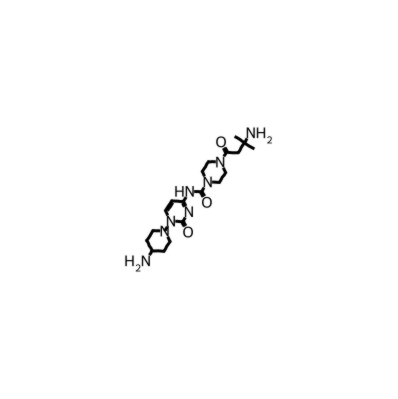 CC(C)(N)CC(=O)N1CCN(C(=O)Nc2ccn(N3CCC(N)CC3)c(=O)n2)CC1